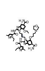 CCOc1cc(C(N)=O)cc2nc(NC(=O)c3cc(C)nn3CC)n(C/C=C/Cn3c(NC(=O)c4cc(C)nn4CC)nc4cc(C(N)=O)cc(OCCCN5CCOCC5)c43)c12